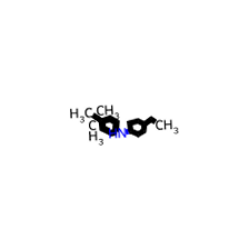 CCC1C[CH]C(Nc2ccc(C(C)(C)C)cc2)CC1